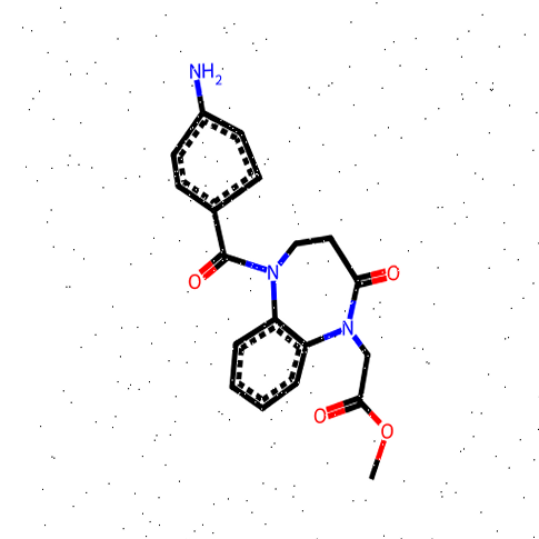 COC(=O)CN1C(=O)CCN(C(=O)c2ccc(N)cc2)c2ccccc21